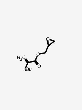 C=C(CCCC)C(=O)OCC1CO1